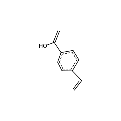 C=Cc1ccc(C(=C)O)cc1